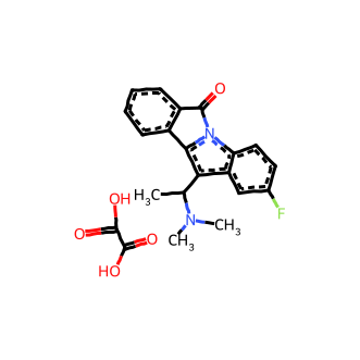 CC(c1c2n(c3ccc(F)cc13)C(=O)c1ccccc1-2)N(C)C.O=C(O)C(=O)O